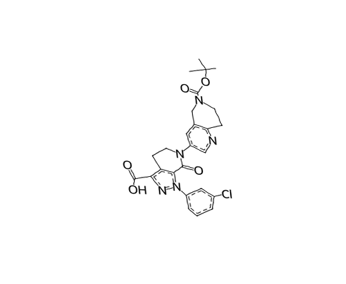 CC(C)(C)OC(=O)N1CCc2ncc(N3CCc4c(C(=O)O)nn(-c5cccc(Cl)c5)c4C3=O)cc2C1